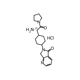 Cl.N[C@H](C(=O)N1CCCC1)C1CCC(N2Cc3ncccc3C2=O)CC1